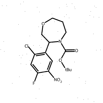 CC(C)(C)OC(=O)N1CCCOCC1c1cc([N+](=O)[O-])c(F)cc1Cl